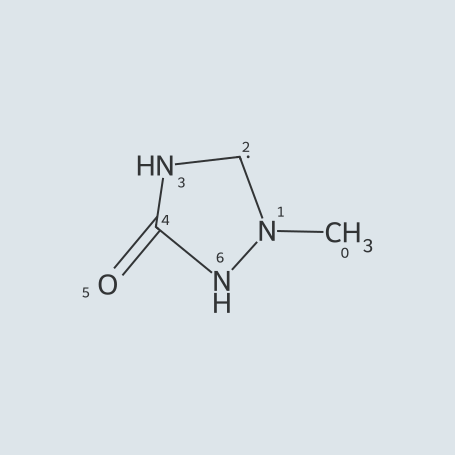 CN1[CH]NC(=O)N1